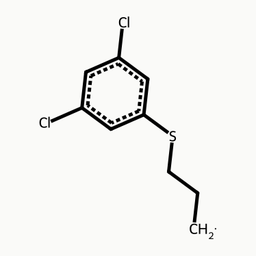 [CH2]CCSc1cc(Cl)cc(Cl)c1